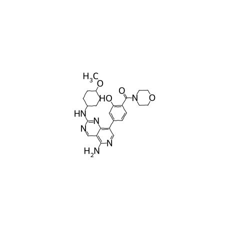 COC1CCC(Nc2ncc3c(N)ncc(-c4ccc(C(=O)N5CCOCC5)c(O)c4)c3n2)CC1